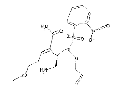 C=CCON([C@@H](CN)/C(=C\CCOC)C(N)=O)S(=O)(=O)c1ccccc1[N+](=O)[O-]